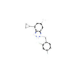 C[C@H](c1ccc(Cl)cc1Cl)n1nnc2c(C3CC3)cc(Br)cc21